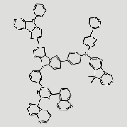 CC1(C)c2ccccc2-c2ccc(N(c3ccc(-c4ccccc4)cc3)c3ccc(-c4ccc5c(c4)c4cc(-c6ccc7c(c6)c6ccccc6n7-c6ccccc6)ccc4n5-c4cccc(-c5nc(-c6cccc7ncccc67)nc(-c6cccc7ncccc67)n5)c4)cc3)cc21